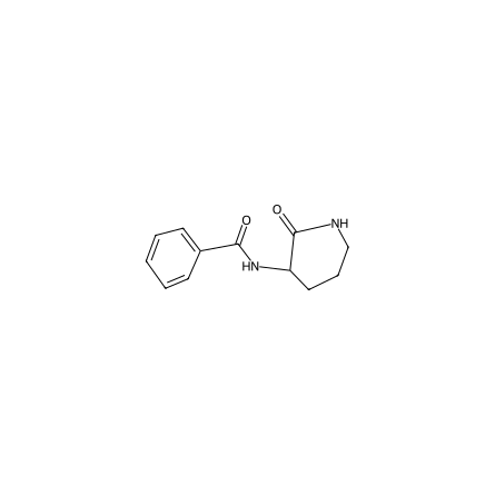 O=C(NC1CCCNC1=O)c1ccccc1